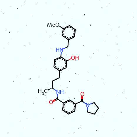 COc1cccc(CNc2ccc(CC[C@H](C)NC(=O)c3cccc(C(=O)N4CCCC4)c3)cc2O)c1